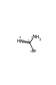 N=C(N)Br